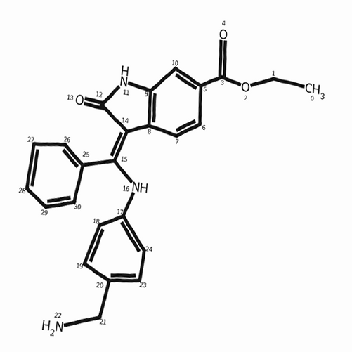 CCOC(=O)c1ccc2c(c1)NC(=O)C2=C(Nc1ccc(CN)cc1)c1ccccc1